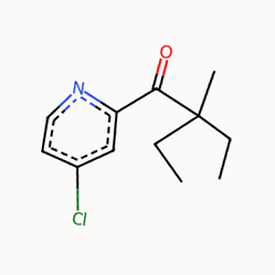 CCC(C)(CC)C(=O)c1cc(Cl)ccn1